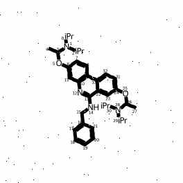 CC(C)N(C(C)C)C(C)Oc1ccc2c(c1)nc(NCc1ccccc1)c1cc(OC(C)N(C(C)C)C(C)C)ccc12